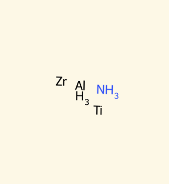 N.[AlH3].[Ti].[Zr]